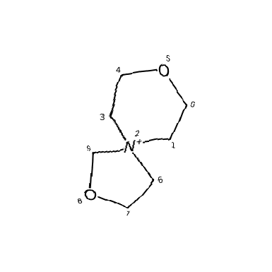 C1C[N+]2(CCO1)CCOC2